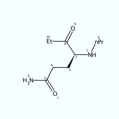 CCCN[C@@H](CCC(N)=O)C(=O)CC